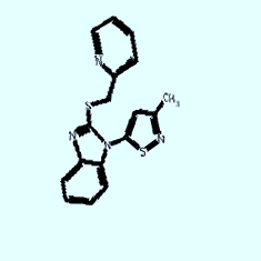 Cc1cc(-n2c(SCc3ccccn3)nc3ccccc32)sn1